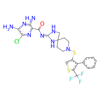 Nc1nc(N)c(C(=O)/N=C2\NCC3(CCN(Sc4csc(C(F)(F)F)c4-c4ccccc4)CC3)N2)nc1Cl